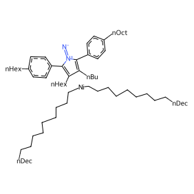 CCCCCCCCCCCCCCCCCC[CH2][Ni][CH2]CCCCCCCCCCCCCCCCCC.CCCCCCCCc1ccc(C2=C(CCCC)C(CCCCCC)=C(c3ccc(CCCCCC)cc3)[N+]2=[N-])cc1